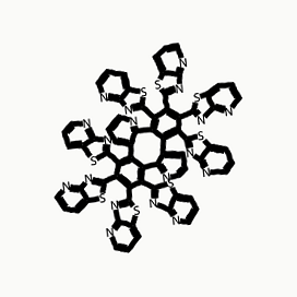 c1cnc2c(c1)-c1c(-c3nc4ncccc4s3)c(-c3nc4ncccc4s3)c(-c3nc4ncccc4s3)c(-c3nc4ncccc4s3)c1-c1ncccc1-c1c(-c3nc4ncccc4s3)c(-c3nc4ncccc4s3)c(-c3nc4ncccc4s3)c(-c3nc4ncccc4s3)c1-2